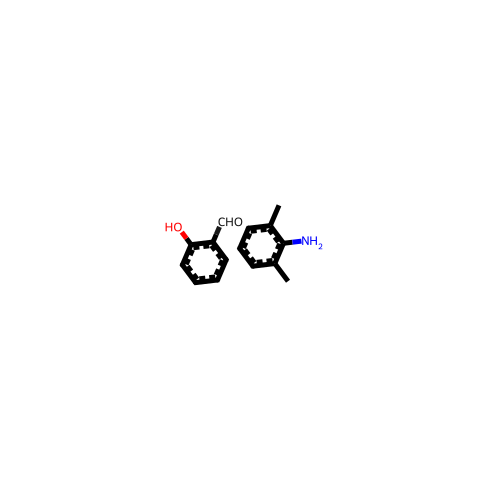 Cc1cccc(C)c1N.O=Cc1ccccc1O